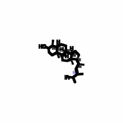 C/C(=C\[C@@H](C)[C@H]1CC[C@H]2[C@@H]3CC[C@H]4[C@H](C)C(O)CC[C@]4(C)[C@H]3CC[C@]12C)C(C)C(C)C